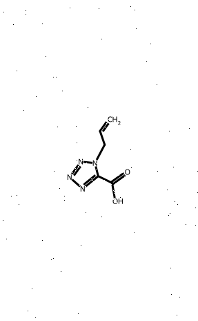 C=CCn1nnnc1C(=O)O